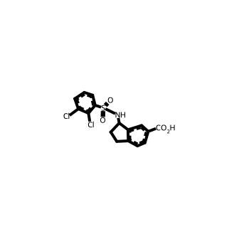 O=C(O)c1ccc2c(c1)C(NS(=O)(=O)c1cccc(Cl)c1Cl)CC2